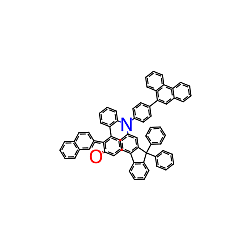 c1ccc(C2(c3ccccc3)c3ccccc3-c3ccc(N(c4ccc(-c5cc6ccccc6c6ccccc56)cc4)c4ccccc4-c4cccc5oc6c7ccccc7ccc6c45)cc32)cc1